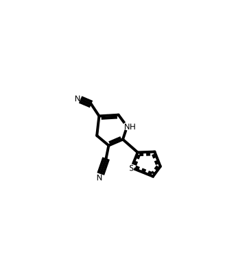 N#CC1=CNC(c2cccs2)=C(C#N)C1